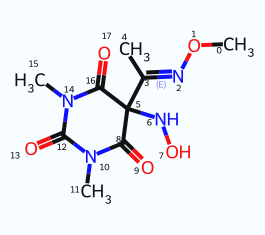 CO/N=C(\C)C1(NO)C(=O)N(C)C(=O)N(C)C1=O